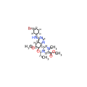 CCC(Oc1cc2ncnc(Nc3cccc(Br)c3)c2cc1OC)N1CCN(C)C(C(=O)OC)C1